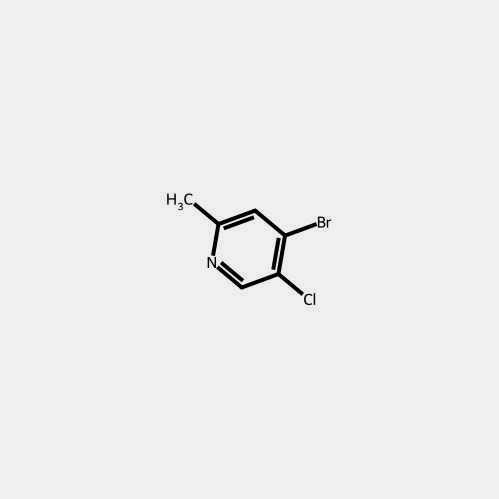 Cc1cc(Br)c(Cl)cn1